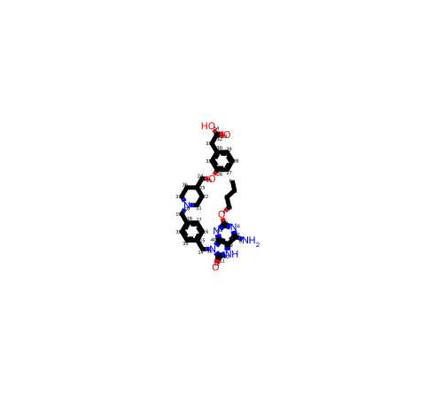 CCCCOc1nc(N)c2[nH]c(=O)n(Cc3ccc(CN4CCC(COc5cccc(CC(=O)O)c5)CC4)cc3)c2n1